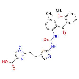 COc1ccccc1C(=O)c1cc(C)ccc1NC(=O)Nc1ncc(CCc2nc(C(=O)O)c[nH]2)s1